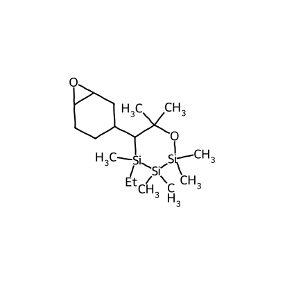 CC[Si]1(C)C(C2CCC3OC3C2)C(C)(C)O[Si](C)(C)[Si]1(C)C